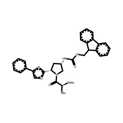 CN[C@H](C(=O)N1C[C@@H](NC(=O)OCC2c3ccccc3-c3ccccc32)C[C@H]1c1nc(-c2ccccc2)co1)C(C)(C)C